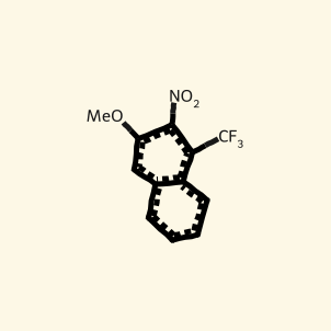 COc1cc2ccccc2c(C(F)(F)F)c1[N+](=O)[O-]